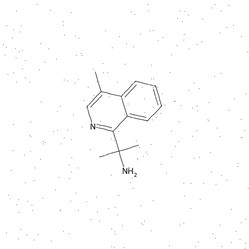 Cc1cnc(C(C)(C)N)c2ccccc12